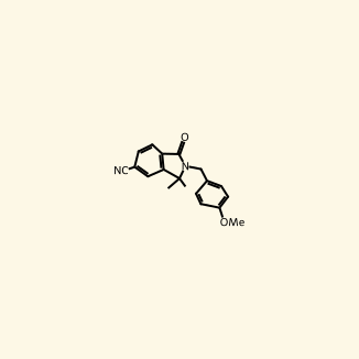 COc1ccc(CN2C(=O)c3ccc(C#N)cc3C2(C)C)cc1